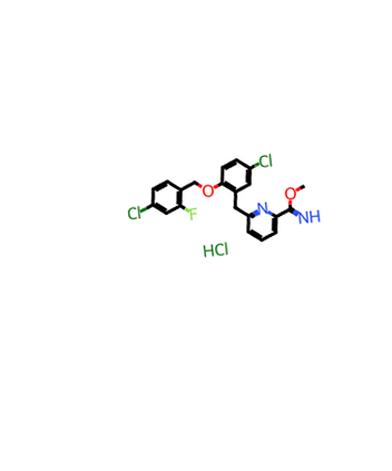 COC(=N)c1cccc(Cc2cc(Cl)ccc2OCc2ccc(Cl)cc2F)n1.Cl